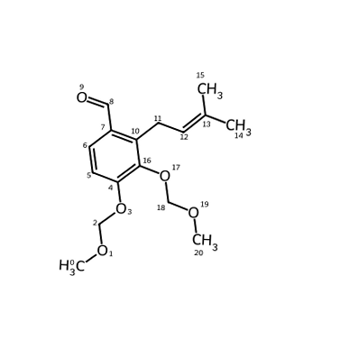 COCOc1ccc(C=O)c(CC=C(C)C)c1OCOC